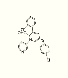 O=CC1C(c2ccccc2Cl)=CC(Sc2ccc(Cl)cc2)=CN1c1cccnc1